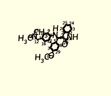 COc1ccc(C(Nc2ccc(CN(C)C)cc2)=C2C(=O)Nc3ccccc32)cc1